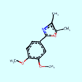 COc1ccc(-c2nc(C)c(C)o2)cc1OC